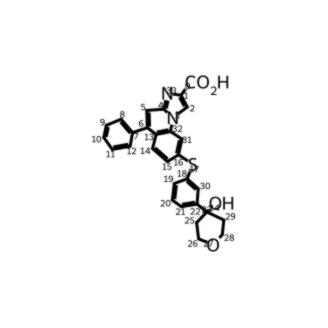 O=C(O)c1cn2c(cc(-c3ccccc3)c3ccc(Sc4cccc(C5(O)CCOCC5)c4)cc32)n1